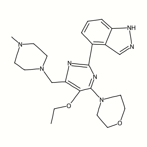 CCOc1c(CN2CCN(C)CC2)nc(-c2cccc3[nH]ncc23)nc1N1CCOCC1